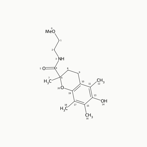 COCCNC(=O)C1(C)CCc2c(C)c(O)c(C)c(C)c2O1